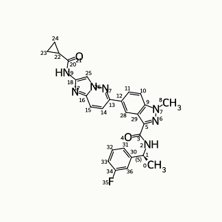 C[C@H](NC(=O)c1nn(C)c2ccc(-c3ccc4nc(NC(=O)C5CC5)cn4n3)cc12)c1cccc(F)c1